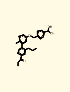 CCCc1cc(C(=O)CC)ccc1-c1cc(OCc2ccc(C(O)O)cc2)ccc1C